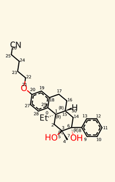 CC[C@@]12C[C@@](C)(O)[C@](O)(c3ccccc3)C[C@H]1CCc1cc(OCCCCC#N)ccc12